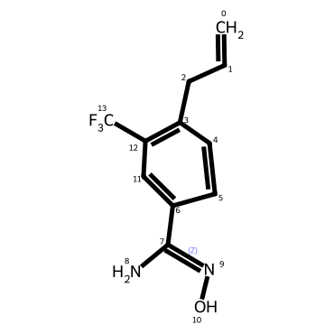 C=CCc1ccc(/C(N)=N/O)cc1C(F)(F)F